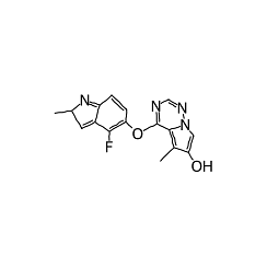 Cc1c(O)cn2ncnc(Oc3ccc4c(c3F)=CC(C)N=4)c12